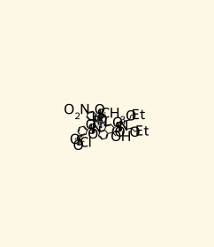 CCOCCN(CCOCC)S(=O)(=O)c1cc(/N=N/c2ccc([N+](=O)[O-])cc2S(C)(=O)=O)c2c(NS(=O)(=O)c3cccc(S(=O)(=O)Cl)c3)cccc2c1O